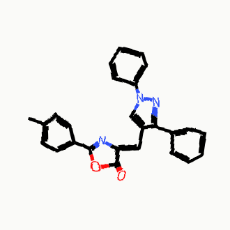 Cc1ccc(C2=NC(=Cc3cn(-c4ccccc4)nc3-c3ccccc3)C(=O)O2)cc1